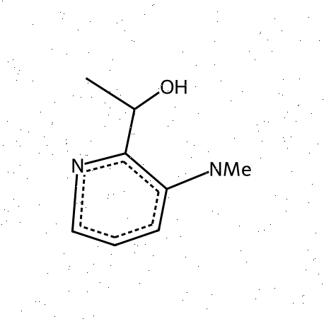 CNc1cccnc1C(C)O